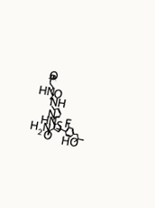 CC(O)Cc1ccc(-c2cc(C(N)=O)c(Nc3cccc(CNCC(=O)NCCP(C)(C)=O)n3)s2)c(F)c1